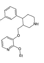 CCOc1ncccc1OCC1CNCCC1c1cccc(F)c1